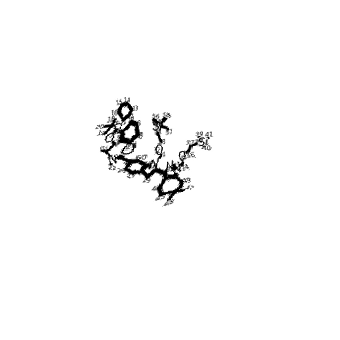 CC(CO[Si](c1ccccc1)(c1ccccc1)C(C)(C)C)N(C)C(=O)c1ccc2cc(-c3nn(COCC[Si](C)(C)C)c4c3CCC(C)(C)C4)n(COCC[Si](C)(C)C)c2c1